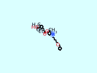 CCC(Cc1ccc(C)c([C@H](C)O)c1)C(=O)Oc1ccc2c(nnn2CCCCCCOCc2ccccc2)c1C